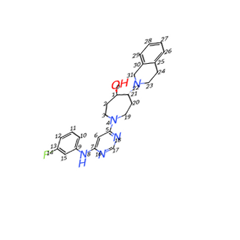 O[C@@H]1CCN(c2cc(Nc3cccc(F)c3)ncn2)CC[C@H]1N1CCc2ccccc2C1